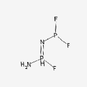 N/[PH](F)=N/P(F)F